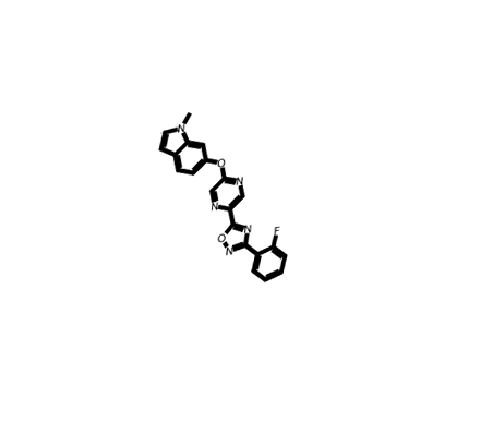 Cn1[c]cc2ccc(Oc3cnc(-c4nc(-c5ccccc5F)no4)cn3)cc21